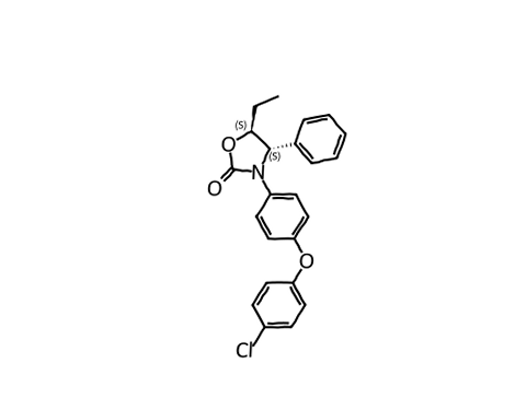 CC[C@@H]1OC(=O)N(c2ccc(Oc3ccc(Cl)cc3)cc2)[C@H]1c1ccccc1